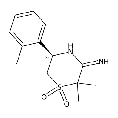 Cc1ccccc1[C@@H]1CS(=O)(=O)C(C)(C)C(=N)N1